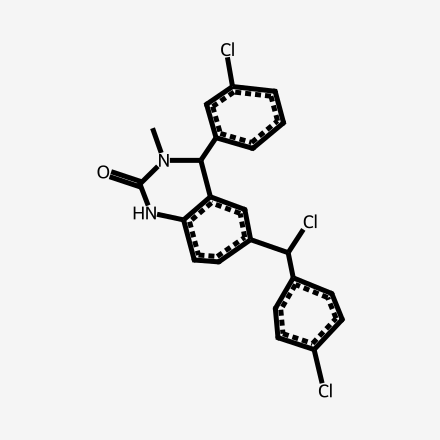 CN1C(=O)Nc2ccc(C(Cl)c3ccc(Cl)cc3)cc2C1c1cccc(Cl)c1